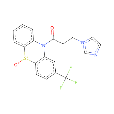 O=C(CCn1ccnc1)N1c2ccccc2[S+]([O-])c2ccc(C(F)(F)F)cc21